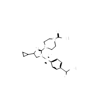 CC(C)c1ccc(S(=O)(=O)N2CC(C3CC3)N=C2N2CCN(C(=O)O)CC2)cc1